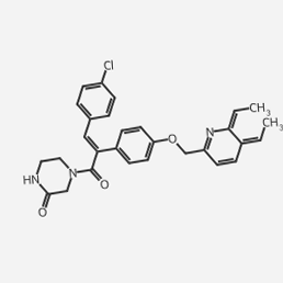 C/C=c1/ccc(COc2ccc(/C(=C\c3ccc(Cl)cc3)C(=O)N3CCNC(=O)C3)cc2)n/c1=C/C